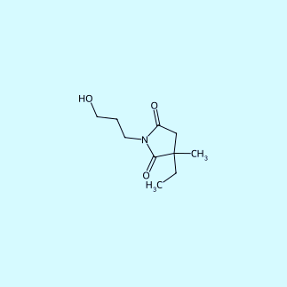 CCC1(C)CC(=O)N(CCCO)C1=O